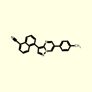 Cc1ccc(-c2cnc3c(-c4cccc5c(C#N)cccc45)cnn3c2)cc1